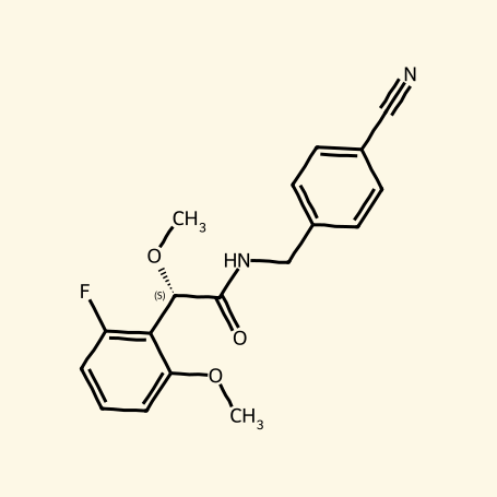 COc1cccc(F)c1[C@H](OC)C(=O)NCc1ccc(C#N)cc1